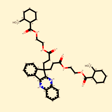 O=C(CCC1(CCC(=O)OCCOC(=O)C2CCCCC2C(=O)O)c2ccccc2-c2nc3ccccc3nc21)OCCOC(=O)C1CCCCC1C(=O)O